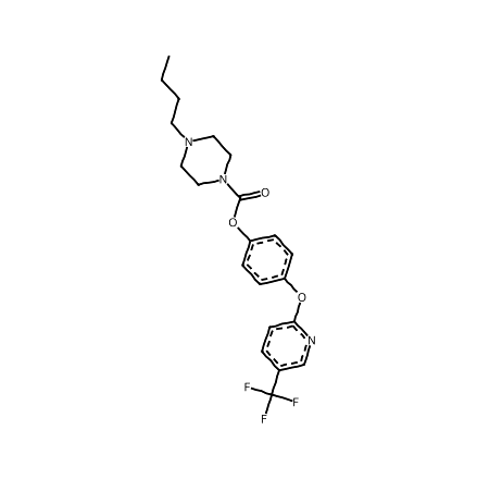 CCCCN1CCN(C(=O)Oc2ccc(Oc3ccc(C(F)(F)F)cn3)cc2)CC1